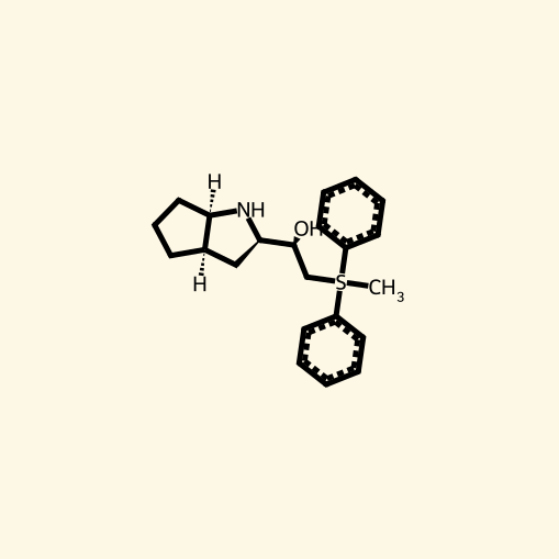 CS(C[C@H](O)[C@H]1C[C@H]2CCC[C@H]2N1)(c1ccccc1)c1ccccc1